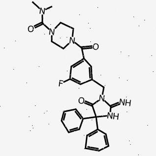 CN(C)C(=O)N1CCN(C(=O)c2cc(F)cc(CN3C(=N)NC(c4ccccc4)(c4ccccc4)C3=O)c2)CC1